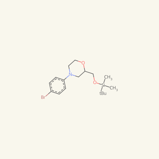 CC(C)(C)[Si](C)(C)OCC1CN(c2ccc(Br)cc2)CCO1